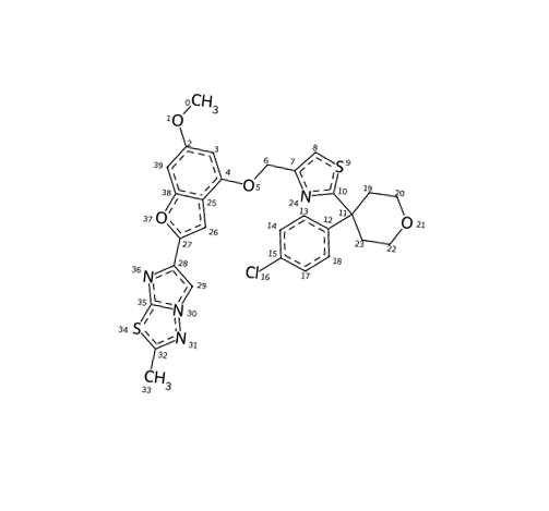 COc1cc(OCc2csc(C3(c4ccc(Cl)cc4)CCOCC3)n2)c2cc(-c3cn4nc(C)sc4n3)oc2c1